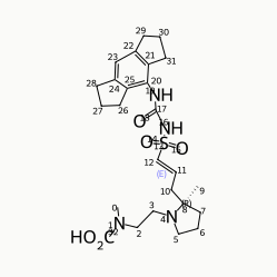 CN(CCN1CCC[C@]1(C)C/C=C/S(=O)(=O)NC(=O)Nc1c2c(cc3c1CCC3)CCC2)C(=O)O